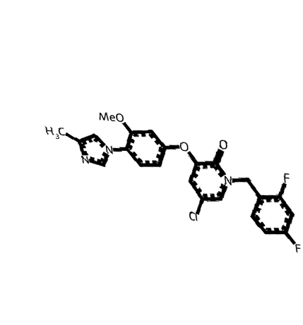 COc1cc(Oc2cc(Cl)cn(Cc3ccc(F)cc3F)c2=O)ccc1-n1cnc(C)c1